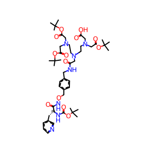 CC(C)(C)OC(=O)CN(CCN(CCN(CC(=O)OC(C)(C)C)CC(=O)OC(C)(C)C)CC(=O)NCc1ccc(CONC(=O)[C@@H](Cc2cccnc2)NC(=O)OC(C)(C)C)cc1)CC(=O)O